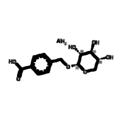 O=C(O)c1ccc(CO[C@H]2OC[C@@H](O)[C@H](O)[C@H]2O)cc1.[AlH3]